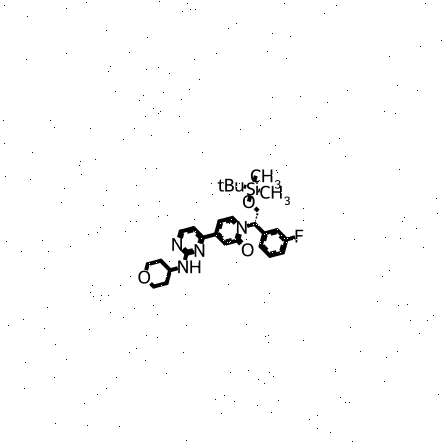 CC(C)(C)[Si](C)(C)OC[C@H](c1cccc(F)c1)n1ccc(-c2ccnc(NC3CCOCC3)n2)cc1=O